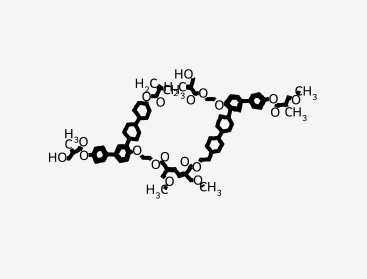 C=C(C)C(=O)OC1CCC(C2CCC(c3cc(-c4ccc(OC(=O)C(C)CO)cc4)ccc3OCCOC(=O)/C(=C/C=C(/COC)C(=O)OCCC3CCC(C4CCC(c5cc(-c6ccc(OC(=O)C(C)COC)cc6)ccc5OCCOC(=O)C(=C)CO)CC4)CC3)COC)CC2)CC1